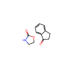 O=C1CCc2ccccc21.O=C1NCCO1